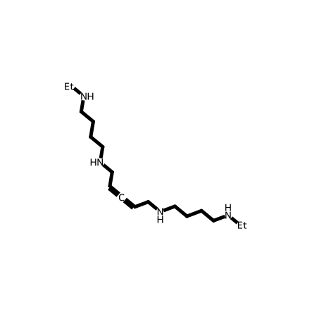 CCNCCCCNCC=C=CCNCCCCNCC